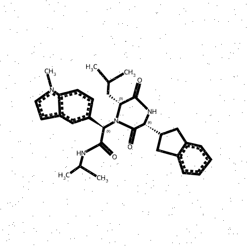 CC(C)C[C@@H]1C(=O)N[C@H](C2Cc3ccccc3C2)C(=O)N1[C@@H](C(=O)NC(C)C)c1ccc2c(ccn2C)c1